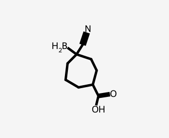 BC1(C#N)CCCC(C(=O)O)CC1